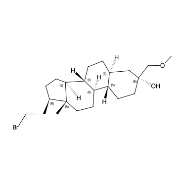 COC[C@@]1(O)CC[C@H]2[C@@H](CC[C@@H]3[C@@H]2CC[C@]2(C)[C@@H](CCBr)CC[C@@H]32)C1